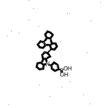 OB(O)c1ccc(-n2c3ccccc3c3ccc(-c4cccc5c6ccccc6c6ccccc6c45)cc32)cc1